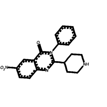 O=c1c2cc([N+](=O)[O-])ccc2nc(C2CCNCC2)n1-c1ccccc1